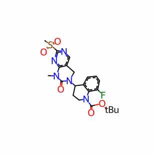 CN1C(=O)N(C2CCN(C(=O)OC(C)(C)C)c3c(F)cccc32)Cc2cnc(S(C)(=O)=O)nc21